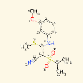 COc1cccc(NC(SC)=C(C#N)S(=O)(=O)C(C)C)c1